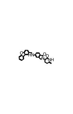 C=C1CC[C@H](N2Cc3cc(NCc4ccc5oc6ccccc6c5c4)ccc3C2=O)C(=O)N1